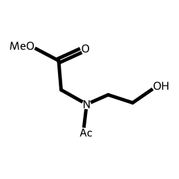 COC(=O)CN(CCO)C(C)=O